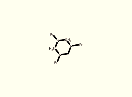 CC(C)N1CN(C(C)C)[SiH2]N(C(C)C)[SiH2]1